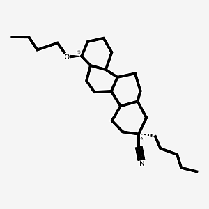 CCCCC[C@]1(C#N)CCC2C(CCC3C2CCC2C3CCC[C@@H]2OCCCC)C1